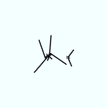 CCCCCCCCCCCCCCCCCCCCCc1cc(CCCCCCCCCCCCCCCCCCCCC)cc(C2=C(CCCC)C(CCCC)=C(c3cc(CCCCCCCCCCCCCCCCCCCCC)cc(CCCCCCCCCCCCCCCCCCCCC)c3)[N+]2=[N-])c1.CCCCCCCCCC[CH2][Ni][CH2]CCCCCCCCCC